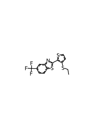 CCSc1ccsc1-c1nc2cc(C(F)(F)F)ccc2s1